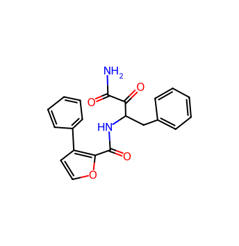 NC(=O)C(=O)C(Cc1ccccc1)NC(=O)c1occc1-c1ccccc1